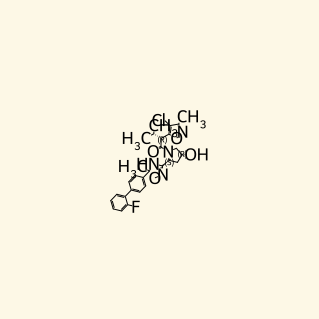 Cc1noc([C@H](C(=O)N2C[C@H](O)C[C@H]2C2=NOC(C)(c3ccc(-c4ccccc4F)cc3)N2)C(C)C)c1Cl